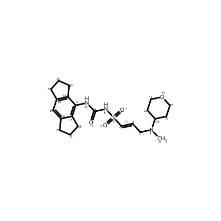 CN(C/C=C/S(=O)(=O)NC(=O)Nc1c2c(cc3c1CCC3)CCC2)C1CCOCC1